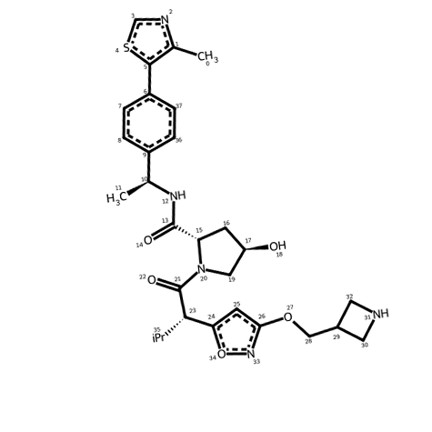 Cc1ncsc1-c1ccc([C@H](C)NC(=O)[C@@H]2C[C@@H](O)CN2C(=O)[C@H](c2cc(OCC3CNC3)no2)C(C)C)cc1